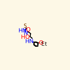 CCOc1cccc(NCC(O)Cc2n[nH]c(=S)o2)c1